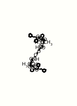 CC(C)(COC(=O)NCCOCCOCCNC(=O)OCC(C)(C)C(=O)C(=O)N1CCCCC1C(=O)O[C@H](CCc1ccccc1)c1ccccc1)C(=O)C(=O)N1CCCCC1C(=O)O[C@@H](CCc1ccccc1)c1ccccc1